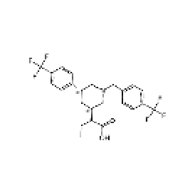 CCC(C(=O)O)[C@H]1C[C@H](c2ccc(C(F)(F)F)cc2)CN(Cc2ccc(C(F)(F)F)cc2)C1